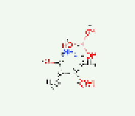 C=C(C(N)=O)C(C)O.OB(O)O